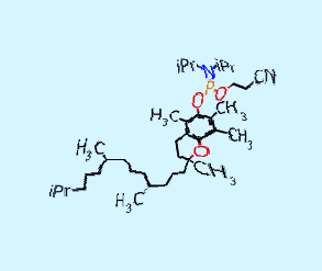 Cc1c(C)c2c(c(C)c1OP(OCCC#N)N(C(C)C)C(C)C)CC[C@@](C)(CCC[C@H](C)CCC[C@H](C)CCCC(C)C)O2